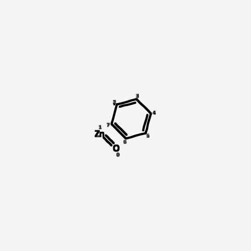 [O]=[Zn].[c]1ccccc1